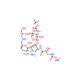 CN(C(=O)OC(C)(C)C)[C@@H]1[C@@H](O)[C@@H](O[C@@H]2[C@@H](O)[C@H](C3OC(CNCC(O)CO)=CC[C@H]3N)[C@@H](N)C[C@H]2NC(=O)[C@H](O)CNC(=O)OC(C)(C)C)OC[C@]1(C)O